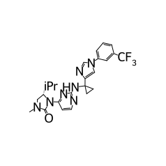 CC(C)[C@H]1CN(C)C(=O)N1c1ccnc(NC2(c3cn(-c4cccc(C(F)(F)F)c4)cn3)CC2)n1